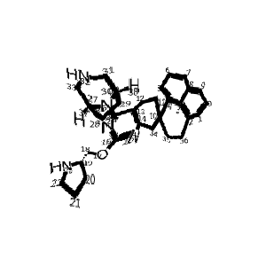 c1cc2c3c(cccc3c1)C1(CCc3c(nc(OC[C@@H]4CCCN4)nc3N3[C@@H]4CC[C@H]3CNC4)C1)CC2